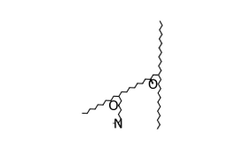 CCCCCCCCCCCCC(CCCCCCCCCCCC)CC(=O)CCCCCCCC(CCCCCCCCC)CC(=O)CCCN(C)C